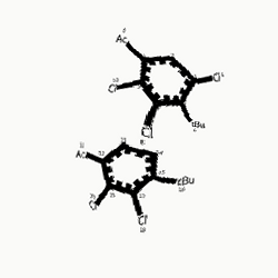 CC(=O)c1cc(Cl)c(C(C)(C)C)c(Cl)c1Cl.CC(=O)c1ccc(C(C)(C)C)c(Cl)c1Cl